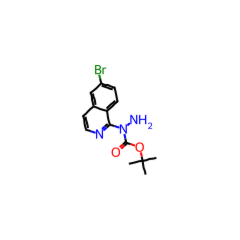 CC(C)(C)OC(=O)N(N)c1nccc2cc(Br)ccc12